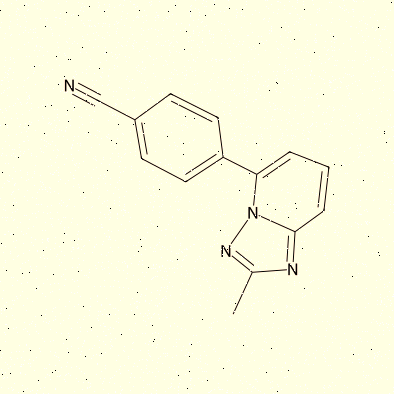 Cc1nc2cccc(-c3ccc(C#N)cc3)n2n1